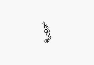 c1cc2c(cc1O[C@@H]1CCOC1)CCC1(CCN(C3CCC3)CC1)O2